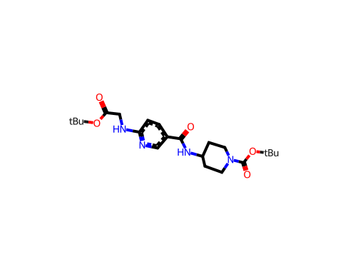 CC(C)(C)OC(=O)CNc1ccc(C(=O)NC2CCN(C(=O)OC(C)(C)C)CC2)cn1